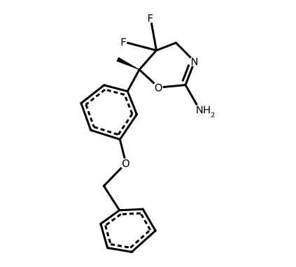 C[C@]1(c2cccc(OCc3ccccc3)c2)OC(N)=NCC1(F)F